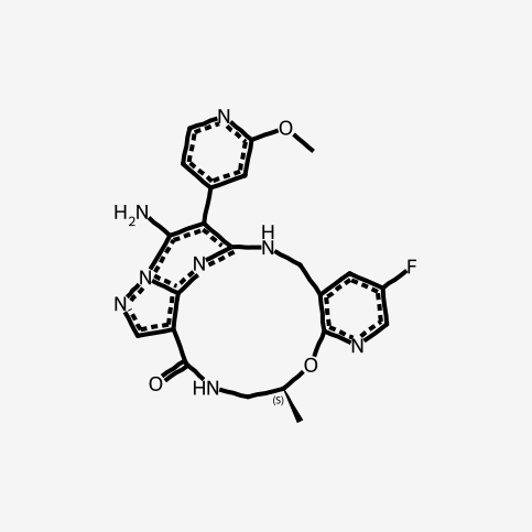 COc1cc(-c2c3nc4c(cnn4c2N)C(=O)NC[C@H](C)Oc2ncc(F)cc2CN3)ccn1